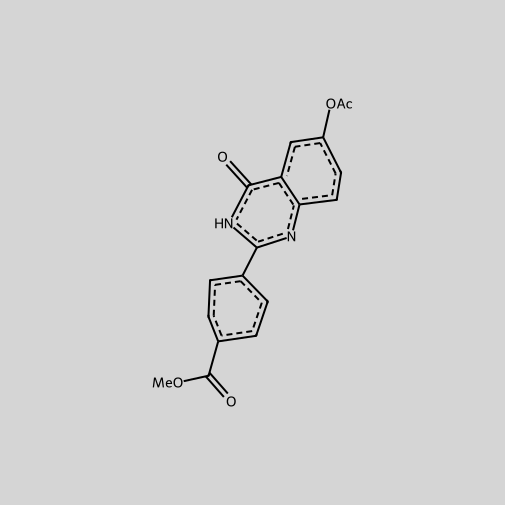 COC(=O)c1ccc(-c2nc3ccc(OC(C)=O)cc3c(=O)[nH]2)cc1